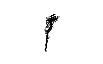 CCCCCCOCCOC(F)(F)C(F)(F)C(F)(F)C(F)(F)OS(=O)(=O)C(F)(F)C(F)(F)C(F)(F)C(F)(F)F